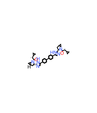 O=C([CH]C1CC1)N1C(c2ncc(-c3ccc(-c4ccc(-c5cnc([C@@H]6C[C@@H]7CC7N6C(=O)[CH]C6CC6)[nH]5)cc4)cc3)[nH]2)CC2CC21